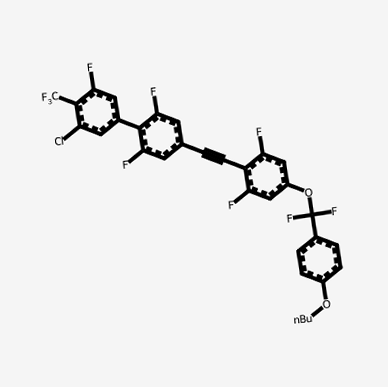 CCCCOc1ccc(C(F)(F)Oc2cc(F)c(C#Cc3cc(F)c(-c4cc(F)c(C(F)(F)F)c(Cl)c4)c(F)c3)c(F)c2)cc1